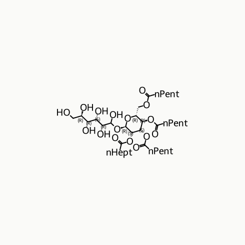 CCCCCCCC(=O)O[C@@H]1[C@@H](OC(O)[C@H](O)[C@@H](O)[C@H](O)[C@H](O)CO)O[C@H](COC(=O)CCCCC)[C@@H](OC(=O)CCCCC)[C@@H]1OC(=O)CCCCC